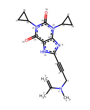 C=C(C)N(C)CC#Cc1nc2c([nH]1)c(=O)n(C1CC1)c(=O)n2C1CC1